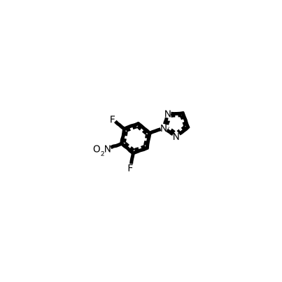 O=[N+]([O-])c1c(F)cc(-n2nccn2)cc1F